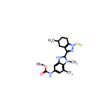 CC1CCc2c(c(C3Nc4cc(NC(=O)OC(C)(C)C)cc(C(F)(F)F)c4N3C)nn2SF)C1